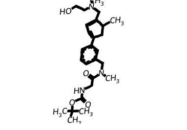 CC1CC(c2cccc(CN(C)C(=O)CNC(=O)OC(C)(C)C)c2)=CC=C1CN(C)CCO